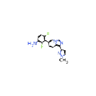 Cn1ccc(-c2ncn3cc(-c4c(F)ccc(N)c4F)ccc23)n1